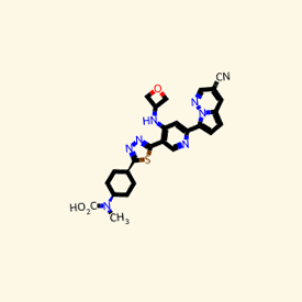 CN(C(=O)O)[C@H]1CC[C@@H](c2nnc(-c3cnc(-c4ccc5cc(C#N)cnn45)cc3NC3COC3)s2)CC1